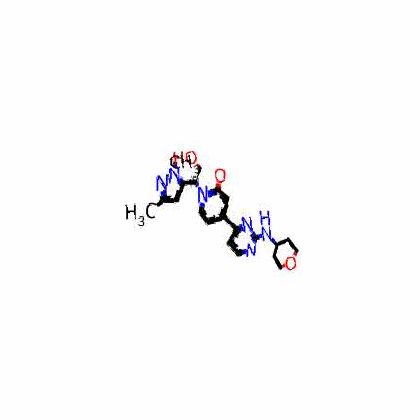 Cc1cc([C@@H](CO)n2ccc(-c3ccnc(NC4CCOCC4)n3)cc2=O)n(C)n1